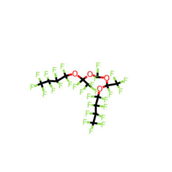 FC(F)(OC(F)(OC(F)(F)C(F)(F)C(F)(F)C(F)(F)F)C(F)(F)F)OC(F)(OC(F)(F)C(F)(F)C(F)(F)C(F)(F)F)C(F)(F)F